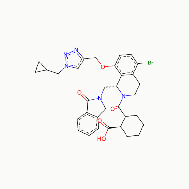 O=C(O)[C@@H]1CCCCC1C(=O)N1CCc2c(Br)ccc(OCc3cn(CC4CC4)nn3)c2[C@H]1CN1Cc2ccccc2C1=O